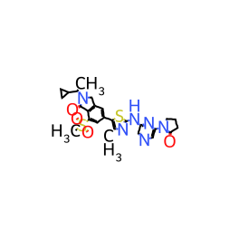 Cc1nc(Nc2cncc(N3CCCC3=O)n2)sc1-c1cc2c(c(S(C)(=O)=O)c1)C(=O)N(C(C)C1CC1)C2